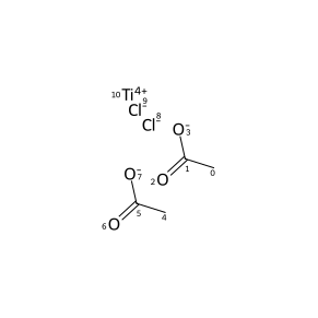 CC(=O)[O-].CC(=O)[O-].[Cl-].[Cl-].[Ti+4]